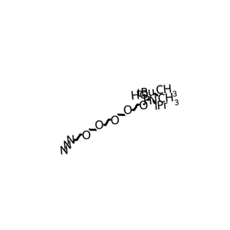 CC(C)N(P(O)OCCOCCOCCOCCOCCN=[N+]=[N-])C(C)(C)C(C)(C)C